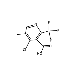 Cc1cnc(C(F)(F)F)c(C(=O)O)c1Cl